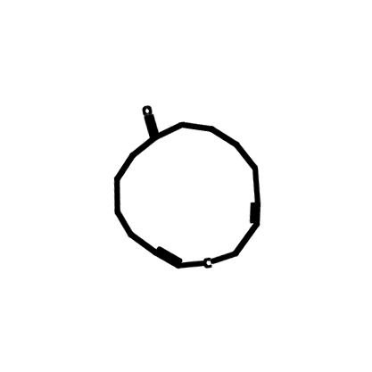 O=C1CCCC/C=C\CC/C=C\CCCC1